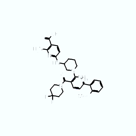 C=C(/C=C\C(C(=O)N1CCC(F)(F)CC1)=C(/N)N1CCCC(Nc2ccc(C(=O)C(F)(F)F)c(N)n2)C1)c1ccccc1OC